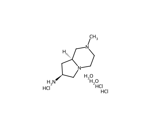 CN1CCN2C[C@@H](N)C[C@H]2C1.Cl.Cl.Cl.O.O